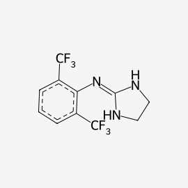 FC(F)(F)c1cccc(C(F)(F)F)c1N=C1NCCN1